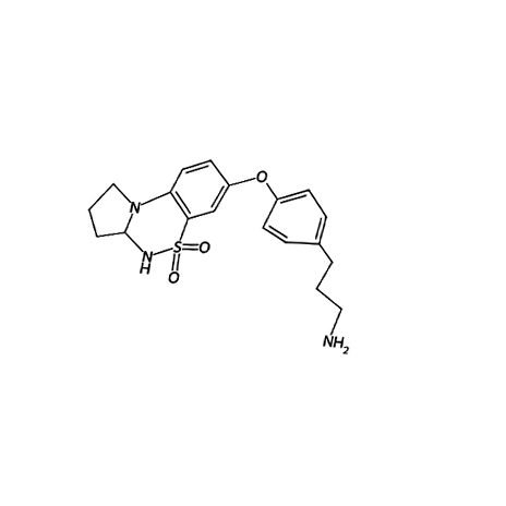 NCCCc1ccc(Oc2ccc3c(c2)S(=O)(=O)NC2CCCN32)cc1